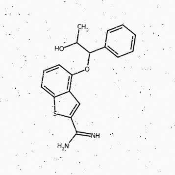 CC(O)C(Oc1cccc2sc(C(=N)N)cc12)c1ccccc1